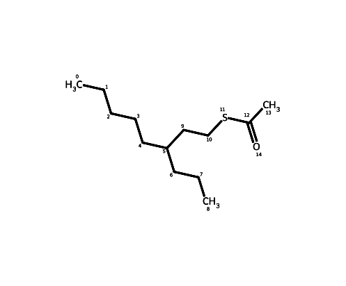 CCCCCC(CCC)CCSC(C)=O